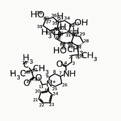 C[C@H](CCC(=O)NC1CC[N+](COC(=O)C(C)(C)C)(c2ccccc2)CC1)[C@H]1CC[C@H]2[C@@H]3[C@H](O)C[C@@H]4C[C@H](O)CC[C@]4(C)[C@H]3C[C@H](O)[C@]12C